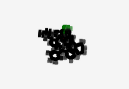 CC1=CC[C]([Zr+2](=[C](c2ccccc2)c2ccccc2)[c]2cccc3c2Cc2ccccc2-3)=C1C(C)(C)C.[Cl-].[Cl-]